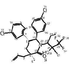 C=CC[C@@]1(C)C[C@H](c2cccc(Cl)c2)[C@@H](c2ccc(Cl)cc2)N(C(CC)C(C)(O)C(F)(F)F)C1=O